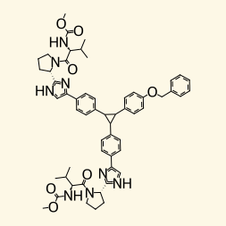 COC(=O)N[C@H](C(=O)N1CCC[C@H]1c1nc(-c2ccc(C3C(c4ccc(OCc5ccccc5)cc4)C3c3ccc(-c4c[nH]c([C@@H]5CCCN5C(=O)[C@@H](NC(=O)OC)C(C)C)n4)cc3)cc2)c[nH]1)C(C)C